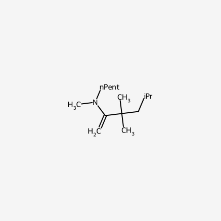 C=C(N(C)CCCCC)C(C)(C)CC(C)C